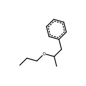 CCCO[C](C)Cc1ccccc1